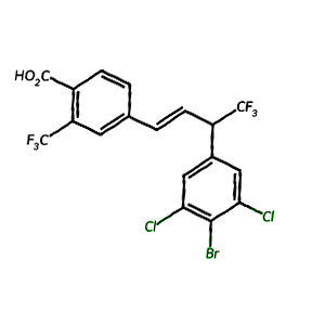 O=C(O)c1ccc(/C=C/C(c2cc(Cl)c(Br)c(Cl)c2)C(F)(F)F)cc1C(F)(F)F